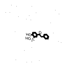 O=C(Cc1ccccc1)c1ccc(O)c(C(=O)O)c1